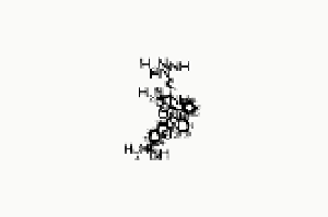 N=C(N)NCCC[C@H](NC(=O)[C@@H](NC(=O)C(Cc1ccc(C(=N)N)cc1)C(=O)N1CCCCC1)c1ccccc1)C(N)=O